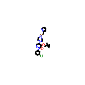 CC1(COc2c(N3CCN(SCc4ccccn4)CC3)cnn(-c3cccc(Cl)c3)c2=O)CC1